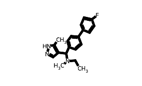 CCN(C)C(c1ccc(-c2ccc(F)cc2)cc1)c1cn[nH]c1C